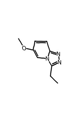 CCc1nnc2ccc(OC)cn12